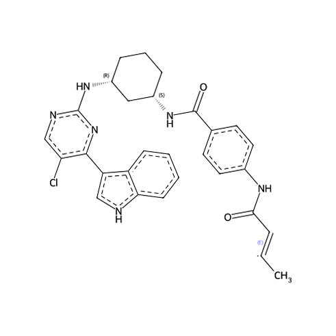 C/[C]=C/C(=O)Nc1ccc(C(=O)N[C@H]2CCC[C@@H](Nc3ncc(Cl)c(-c4c[nH]c5ccccc45)n3)C2)cc1